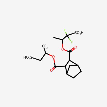 CC(OC(=O)C1C2CCC(C2)C1C(=O)OC(CS(=O)(=O)O)C(F)(F)F)C(F)(F)S(=O)(=O)O